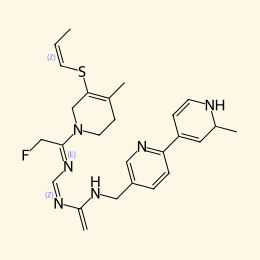 C=C(/N=C\N=C(/CF)N1CCC(C)=C(S/C=C\C)C1)NCc1ccc(C2=CC(C)NC=C2)nc1